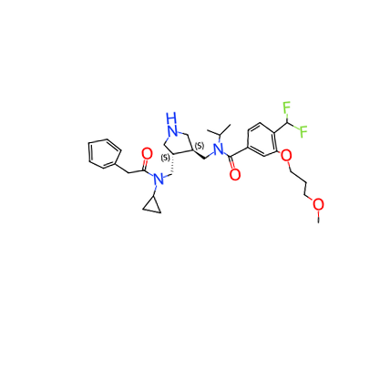 COCCCOc1cc(C(=O)N(C[C@@H]2CNC[C@H]2CN(C(=O)Cc2ccccc2)C2CC2)C(C)C)ccc1C(F)F